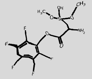 CO[Si](O)(OC)C(N)C(=O)Oc1c(F)c(F)c(F)c(F)c1F